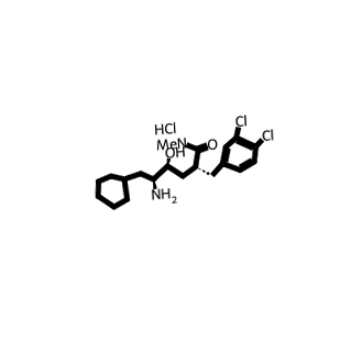 CNC(=O)[C@H](Cc1ccc(Cl)c(Cl)c1)C[C@H](O)[C@@H](N)CC1CCCCC1.Cl